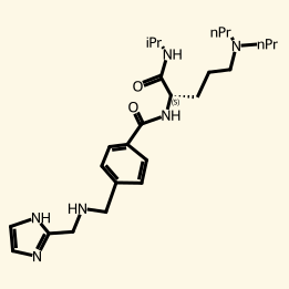 CCCN(CCC)CCC[C@H](NC(=O)c1ccc(CNCc2ncc[nH]2)cc1)C(=O)NC(C)C